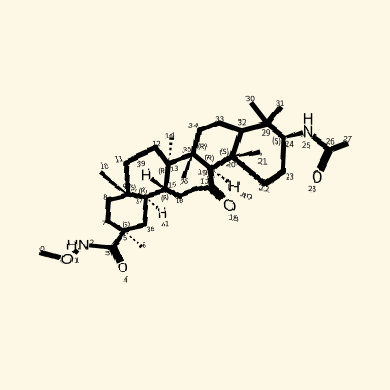 CONC(=O)[C@@]1(C)CC[C@]2(C)CC[C@]3(C)[C@H](CC(=O)[C@@H]4[C@@]5(C)CC[C@H](NC(C)=O)C(C)(C)C5CC[C@]43C)[C@H]2C1